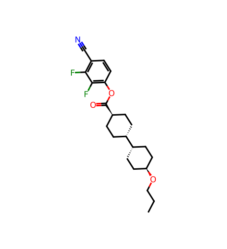 CCCO[C@H]1CC[C@H]([C@H]2CC[C@H](C(=O)Oc3ccc(C#N)c(F)c3F)CC2)CC1